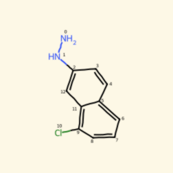 NNc1ccc2cccc(Cl)c2c1